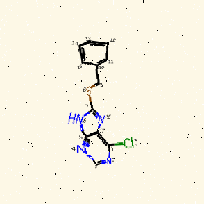 Clc1ncnc2[nH]c(SCc3ccccc3)nc12